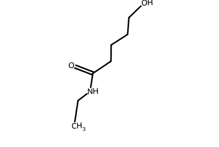 CCNC(=O)CCCCO